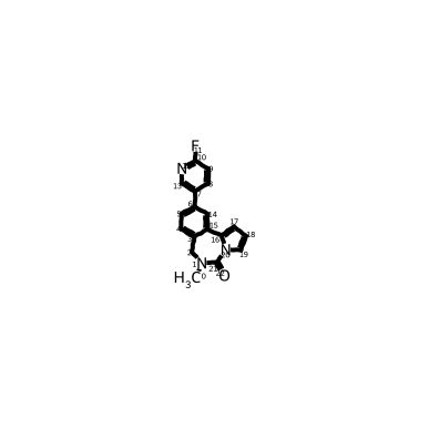 CN1Cc2ccc(-c3ccc(F)nc3)cc2-c2cccn2C1=O